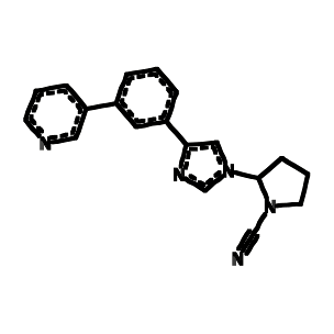 N#CN1CCCC1n1cnc(-c2cccc(-c3cccnc3)c2)c1